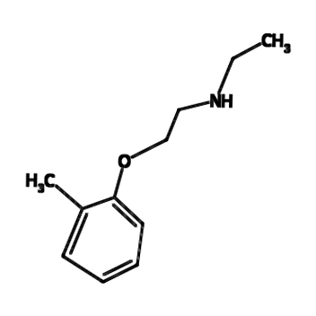 CCNCCOc1ccccc1C